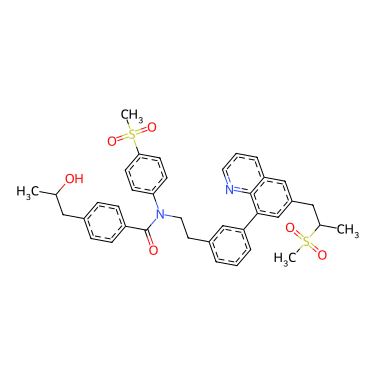 CC(O)Cc1ccc(C(=O)N(CCc2cccc(-c3cc(CC(C)S(C)(=O)=O)cc4cccnc34)c2)c2ccc(S(C)(=O)=O)cc2)cc1